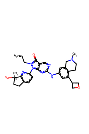 C=CCn1c(=O)c2cnc(Nc3cc4c(c(C5COC5)c3)CCN(C)C4)nc2n1-c1ccc2c(n1)[C@](C)(O)CC2